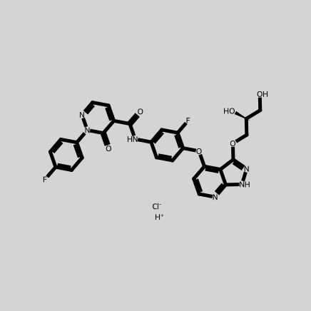 O=C(Nc1ccc(Oc2ccnc3[nH]nc(OC[C@@H](O)CO)c23)c(F)c1)c1ccnn(-c2ccc(F)cc2)c1=O.[Cl-].[H+]